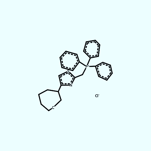 [Cl-].c1ccc([P+](Cc2nc(C3CCCCCC3)cs2)(c2ccccc2)c2ccccc2)cc1